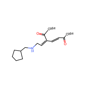 COC(=O)C=CC(=CCNCC1CCCC1)C(=O)OC